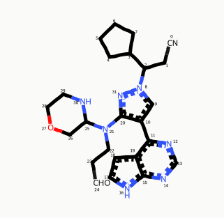 N#CCC(C1CCCC1)n1cc(-c2ncnc3[nH]ccc23)c(N(CCC=O)C2COCCN2)n1